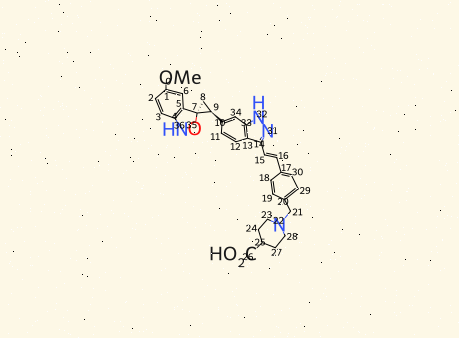 COc1ccc2c(c1)[C@]1(C[C@H]1c1ccc3c(/C=C/c4ccc(CN5CCC(C(=O)O)CC5)cc4)n[nH]c3c1)ON2